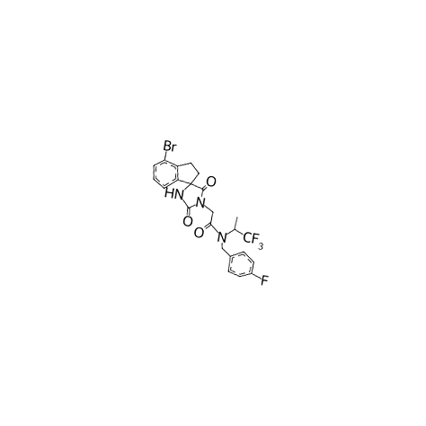 CC(N(Cc1ccc(F)cc1)C(=O)CN1C(=O)NC2(CCc3c(Br)cccc32)C1=O)C(F)(F)F